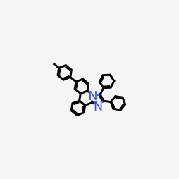 Cc1ccc(C2=CC3c4ccccc4-c4nc(-c5ccccc5)c(C5=CCCC=C5)n4C3C=C2)cc1